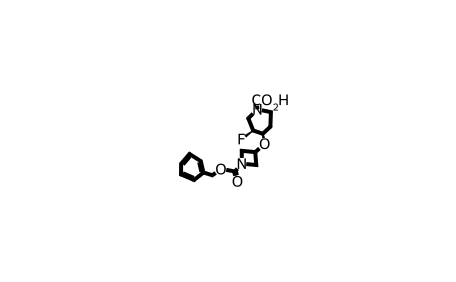 O=C(O)N1CC[C@@H](OC2CN(C(=O)OCc3ccccc3)C2)[C@@H](F)C1